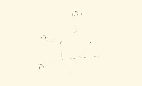 CC(C)C1(C(=O)OC(C)(C)C)CC12CC2